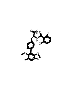 COc1c(F)cc2c(c1-c1ccc(C[C@H](NC(=O)c3c(Cl)cccc3Cl)C(=O)O)cc1)OCO2